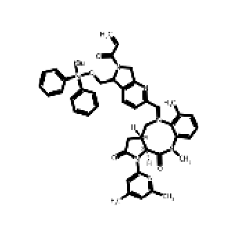 C=CC(=O)N1Cc2nc(CN3C[C@H]4CC(=O)N(c5cc(C(F)(F)F)cc(C)n5)[C@@H]4C(=O)N(C)c4cccc(C)c43)ccc2C1CO[Si](c1ccccc1)(c1ccccc1)C(C)(C)C